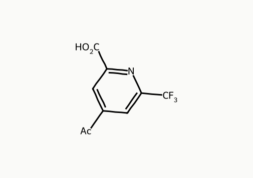 CC(=O)c1cc(C(=O)O)nc(C(F)(F)F)c1